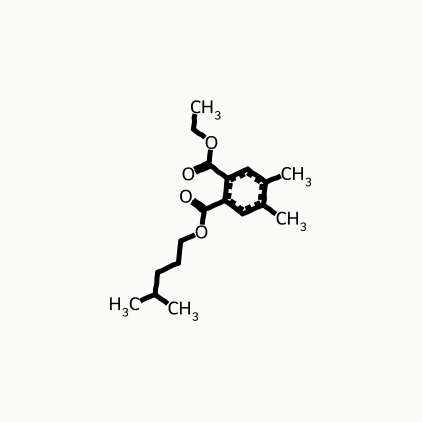 CCOC(=O)c1cc(C)c(C)cc1C(=O)OCCCC(C)C